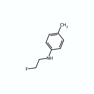 Cc1ccc(NCCF)cc1